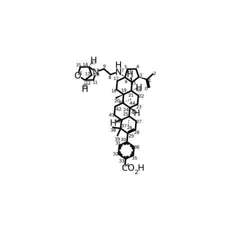 C=C(C)[C@@H]1CC[C@]2(NCCN3C[C@@H]4C[C@H]3CO4)CC[C@]3(C)[C@H](CC[C@@H]4[C@@]5(C)CC=C(c6ccc(C(=O)O)cc6)C(C)(C)[C@@H]5CC[C@]43C)[C@@H]12